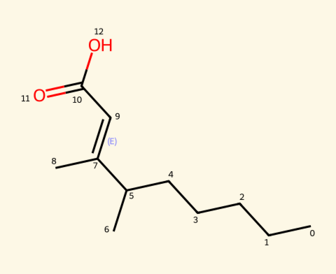 CCCCCC(C)/C(C)=C/C(=O)O